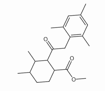 COC(=O)C1CCC(C)C(C)C1C(=O)Cc1c(C)cc(C)cc1C